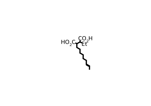 CC=CCCCCCCC(C(=O)O)C(CC)C(=O)O